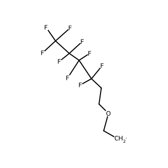 [CH2]COCCC(F)(F)C(F)(F)C(F)(F)C(F)(F)F